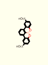 CCCCCCCCc1ccc2c(c1)-c1cccc3c1B(O2)Oc1ccc(CCCCCCCC)cc1-3